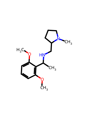 COc1cccc(OC)c1C(C)NCC1CCCN1C